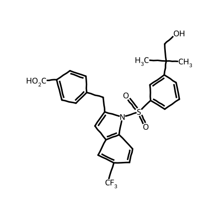 CC(C)(CO)c1cccc(S(=O)(=O)n2c(Cc3ccc(C(=O)O)cc3)cc3cc(C(F)(F)F)ccc32)c1